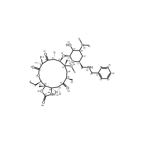 CC[C@H]1OC(=O)[C@@](C)(F)C(=O)[C@H](C)[C@@H](O[C@@H]2O[C@H](CNCc3cccnc3)CC(N(C)C)C2O)[C@](C)(OC)C[C@@H](C)C(=O)[C@H](C)[C@H]2NC(=O)O[C@@]21C